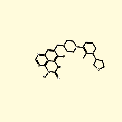 CCN1C(=O)Nc2c(F)c(CN3CCN(C4=C(C)N([C@H]5CCOC5)CC=C4)CC3)cc3ncnc1c23